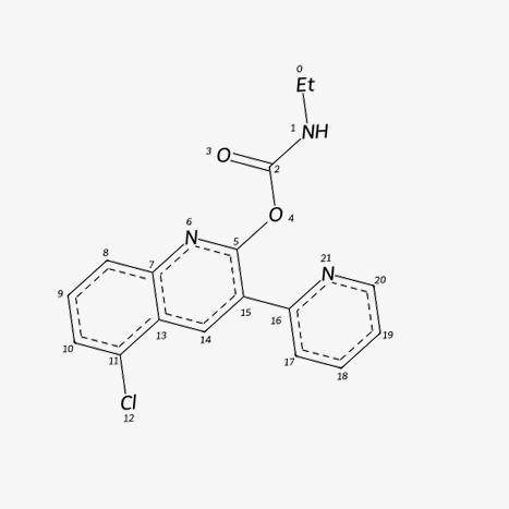 CCNC(=O)Oc1nc2cccc(Cl)c2cc1-c1ccccn1